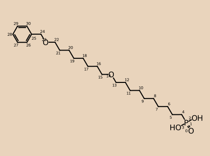 O=P(O)(O)CCCCCCCCCCOCCCCCCCCOCc1ccccc1